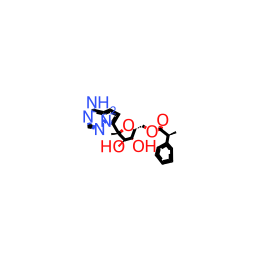 C[C@H](C(=O)OC[C@H]1O[C@@](C)(c2ccc3c(N)ncnn23)[C@H](O)[C@@H]1O)c1ccccc1